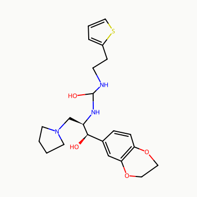 OC(NCCc1cccs1)N[C@H](CN1CCCC1)[C@H](O)c1ccc2c(c1)OCCO2